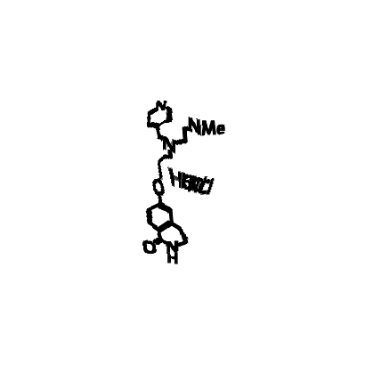 CNCCN(CCCOc1ccc2c(c1)CCNC2=O)Cc1ccncc1.Cl.Cl.Cl